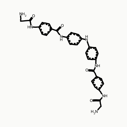 NCC(=O)Nc1ccc(C(=O)Nc2ccc(Nc3ccc(NC(=O)c4ccc(NC(=O)CN)cc4)cc3)cc2)cc1